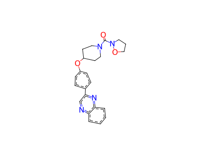 O=C(N1CCC(Oc2ccc(-c3cnc4ccccc4n3)cc2)CC1)N1CCCO1